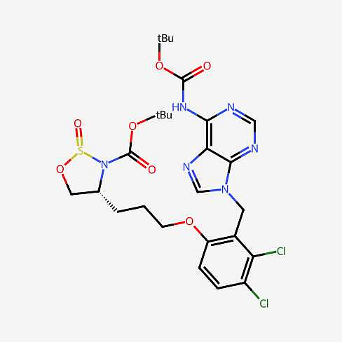 CC(C)(C)OC(=O)Nc1ncnc2c1ncn2Cc1c(OCCC[C@@H]2COS(=O)N2C(=O)OC(C)(C)C)ccc(Cl)c1Cl